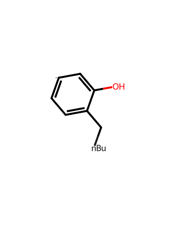 CCCCCc1cc[c]cc1O